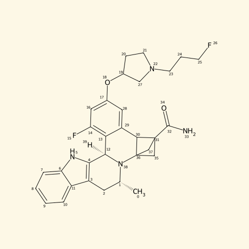 C[C@@H]1Cc2c([nH]c3ccccc23)[C@H]2c3c(F)cc(OC4CCN(CCCF)C4)cc3C3C4(C(N)=O)CC3(C4)N21